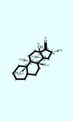 C[C@]12CCCCC1CC[C@@H]1[C@@H]2CC[C@]2(C)C(=O)[C@H](F)C[C@@H]12